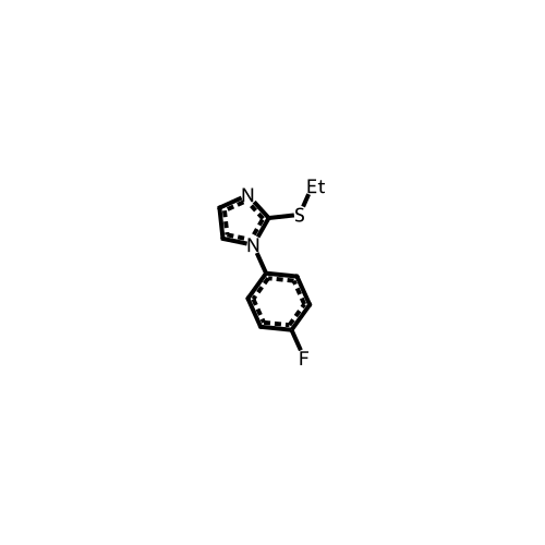 CCSc1nccn1-c1ccc(F)cc1